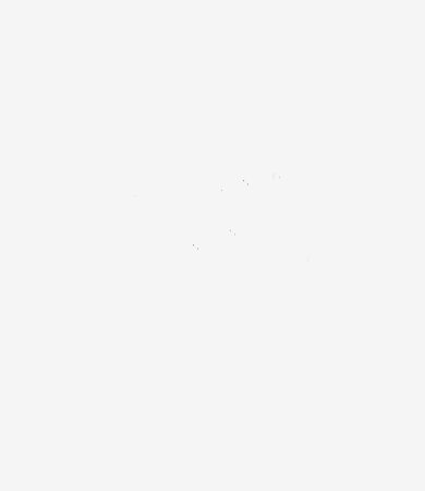 Cc1cc(OCc2c(F)cccc2F)c2nc(C)c(C(=O)NCC3(NC(=O)O)CCCCC3)n2c1.O=C(O)C(F)(F)F